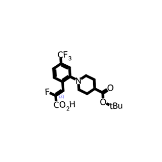 CC(C)(C)OC(=O)C1CCN(c2cc(C(F)(F)F)ccc2/C=C(\F)C(=O)O)CC1